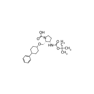 CC(C)(C)OC(=O)N[C@H]1CCN(C(=O)O)[C@H]1COC1CCC(c2ccccc2)CC1